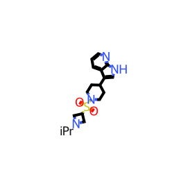 CC(C)N1CC(S(=O)(=O)N2CCC(c3c[nH]c4ncccc34)CC2)C1